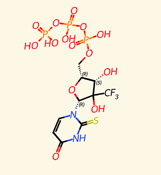 O=c1ccn([C@@H]2O[C@H](COP(=O)(O)OP(=O)(O)OP(=O)(O)O)[C@H](O)C2(O)C(F)(F)F)c(=S)[nH]1